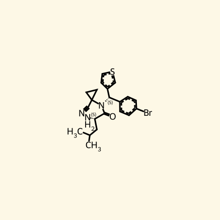 CC(C)C[C@H](N)C(=O)N([C@@H](c1ccc(Br)cc1)c1ccsc1)C1(C#N)CC1